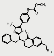 COC(=O)Nc1ccc(-c2[nH]c([C@H](Cc3ccccc3)N3CCc4cc(CN)ccc4C3=O)nc2C)cc1